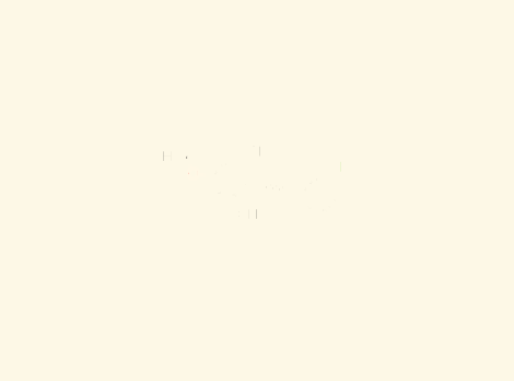 CCCCCCOc1cc(C)c(C#Cc2cc(F)c(F)c(F)c2)c(C)c1